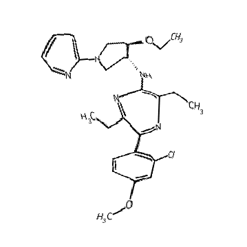 CCO[C@@H]1CN(c2ccccn2)C[C@H]1Nc1nc(CC)c(-c2ccc(OC)cc2Cl)nc1CC